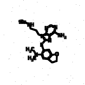 CN(C)c1cc2c(cc1Sc1nc3c(N)ncnc3n1CCCNC(C)(C)C)OCC2